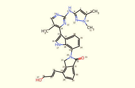 Cc1cnc(Nc2cc(C)n(C)n2)nc1-c1c[nH]c2c(N3Cc4c(/C=C/CO)cccc4C3=O)cccc12